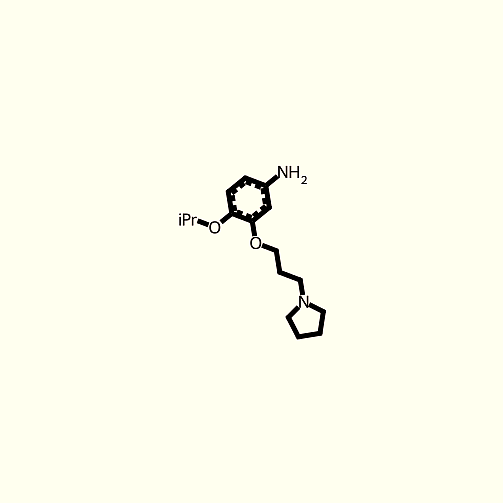 CC(C)Oc1ccc(N)cc1OCCCN1CCCC1